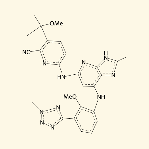 COc1c(Nc2cc(Nc3ccc(C(C)(C)OC)c(C#N)n3)nc3[nH]c(C)nc23)cccc1-c1nnn(C)n1